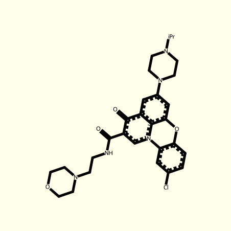 CC(C)N1CCN(c2cc3c4c(c2)c(=O)c(C(=O)NCCN2CCOCC2)cn4-c2cc(Cl)ccc2O3)CC1